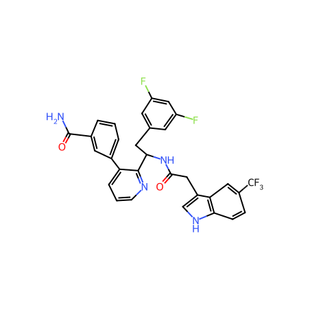 NC(=O)c1cccc(-c2cccnc2C(Cc2cc(F)cc(F)c2)NC(=O)Cc2c[nH]c3ccc(C(F)(F)F)cc23)c1